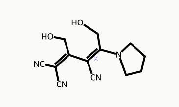 N#CC(C#N)=C(CO)/C(C#N)=C(\CO)N1CCCC1